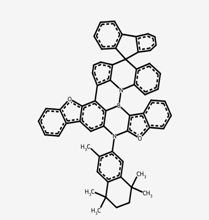 Cc1cc2c(cc1N1c3cc4c(oc5ccccc54)c4c3B(c3c1oc1ccccc31)N1c3ccccc3C3(c5ccccc5-c5ccccc53)c3cccc-4c31)C(C)(C)CCC2(C)C